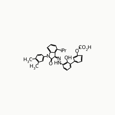 Cc1ccc(N2C(=O)C(=NNc3cccc(-c4cccc(OC(=O)O)c4)c3O)c3c(C(C)C)cccc32)cc1C